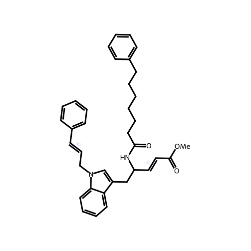 COC(=O)/C=C/C(Cc1cn(C/C=C/c2ccccc2)c2ccccc12)NC(=O)CCCCCCc1ccccc1